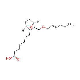 CCC/C=C/COC[C@H]1[C@@H](CCCCCCC(=O)O)[C@H]2CC[C@@H]1O2